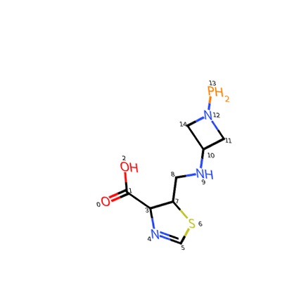 O=C(O)C1N=CSC1CNC1CN(P)C1